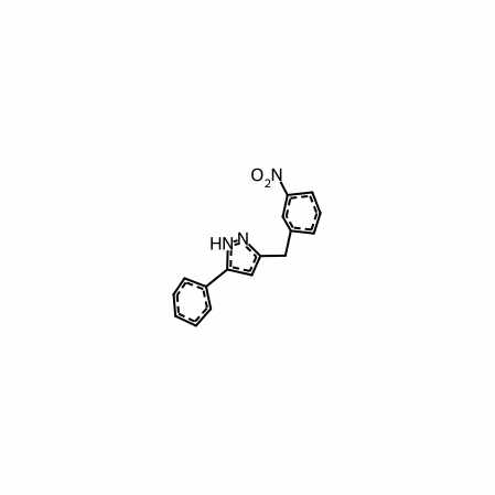 O=[N+]([O-])c1cccc(Cc2cc(-c3ccccc3)[nH]n2)c1